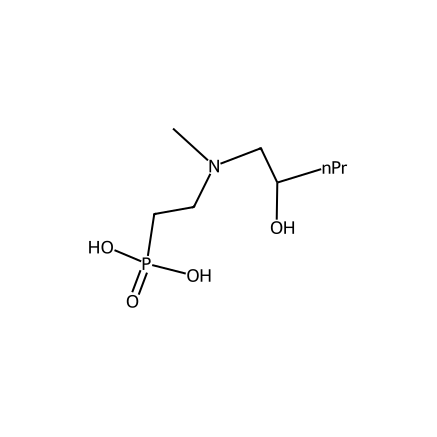 [CH2]CCC(O)CN(C)CCP(=O)(O)O